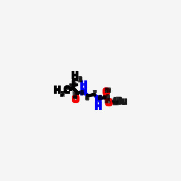 C=C(C)C(=O)NCCNC(=O)OC(C)(C)C